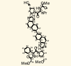 C#C[C@H]1C[C@@H](c2nc3ccc4cc(-c5ccc6c(ccc7nc([C@@H]8C[C@H](COC)CN8C(=O)[C@H](NC(=O)COC)c8ccccc8)[nH]c76)c5)ccc4c3[nH]2)N(C(=O)[C@@H](NC(=O)OC)C(C)C)C1